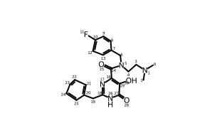 CN(C)CCN(Cc1ccc(F)cc1)C(=O)c1nc(Cc2ccccc2)[nH]c(=O)c1O